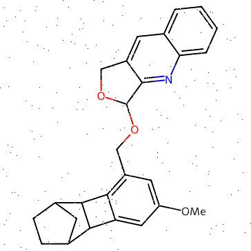 COc1cc(COC2OCc3cc4ccccc4nc32)c2c(c1)C1C3CCC(C3)C21